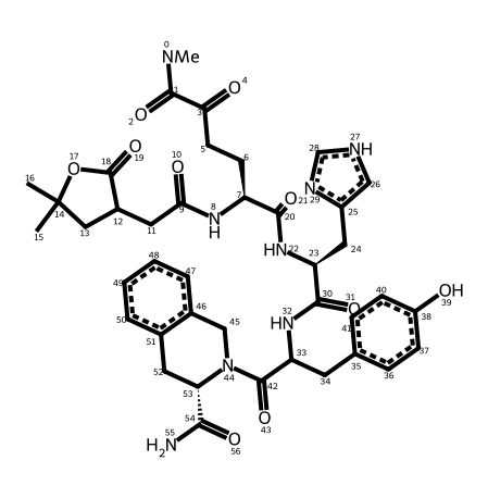 CNC(=O)C(=O)CC[C@H](NC(=O)CC1CC(C)(C)OC1=O)C(=O)N[C@@H](Cc1c[nH]cn1)C(=O)NC(Cc1ccc(O)cc1)C(=O)N1Cc2ccccc2C[C@H]1C(N)=O